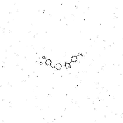 Cc1ccc(-c2noc(C3CCN(Cc4ccc(Cl)c(Cl)c4)CC3)n2)cc1